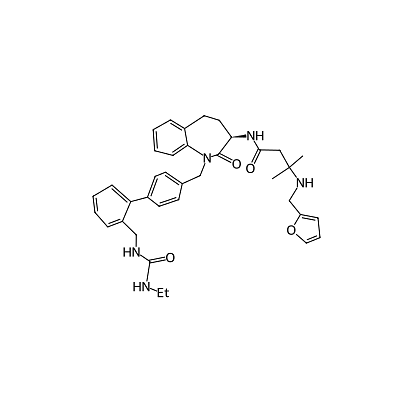 CCNC(=O)NCc1ccccc1-c1ccc(CN2C(=O)[C@H](NC(=O)CC(C)(C)NCc3ccco3)CCc3ccccc32)cc1